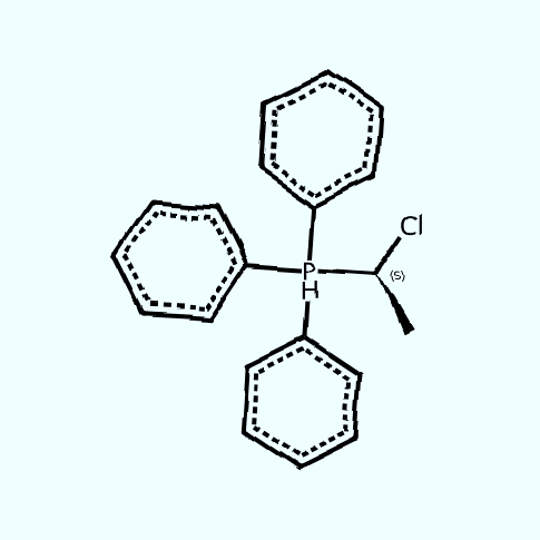 C[C@H](Cl)[PH](c1ccccc1)(c1ccccc1)c1ccccc1